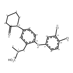 CN(Cc1cc(N2CCCCC2=O)ccc1Oc1ccc(Cl)c(Cl)c1)C(=O)O